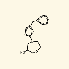 OC1COCCN(c2ccn(Cc3ccccc3)n2)C1